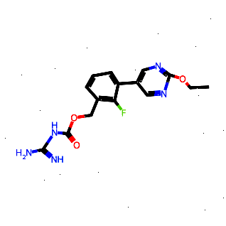 CCOc1ncc(-c2cccc(COC(=O)NC(=N)N)c2F)cn1